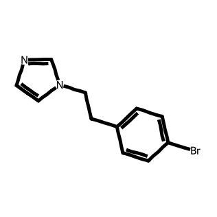 Brc1ccc(CCn2ccnc2)cc1